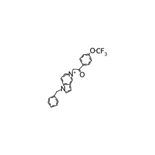 O=C(C[n+]1ccc2c(ccn2Cc2ccccc2)c1)c1ccc(OC(F)(F)F)cc1